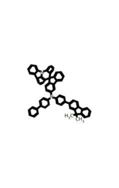 CC1(C)c2ccccc2-c2ccc(-c3ccc(N(C4=CC=C(c5ccccc5)CC4)c4ccc5c(c4)-c4ccccc4C54c5ccccc5-n5c6ccccc6c6cccc4c65)cc3)cc21